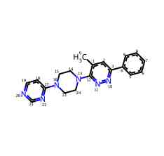 Cc1cc(-c2ccccc2)nnc1N1CCN(c2ccncn2)CC1